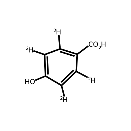 [2H]c1c([2H])c(C(=O)O)c([2H])c([2H])c1O